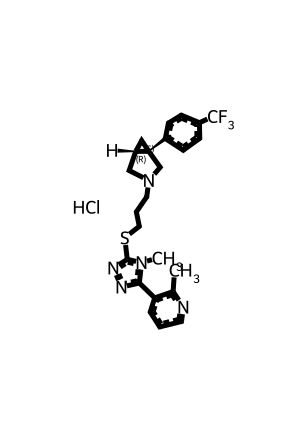 Cc1ncccc1-c1nnc(SCCCN2C[C@@H]3C[C@]3(c3ccc(C(F)(F)F)cc3)C2)n1C.Cl